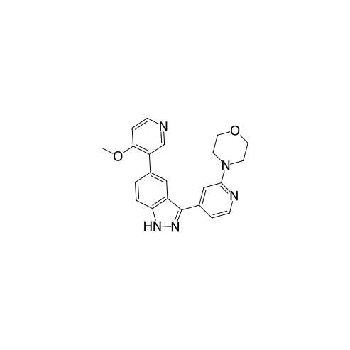 COc1ccncc1-c1ccc2[nH]nc(-c3ccnc(N4CCOCC4)c3)c2c1